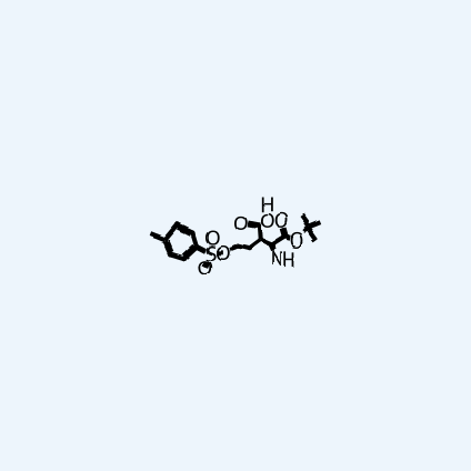 Cc1ccc(S(=O)(=O)OCCC(C(=N)C(=O)OC(C)(C)C)C(=O)O)cc1